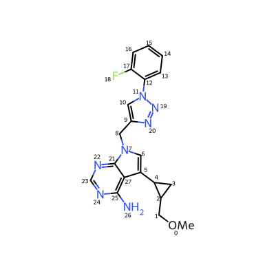 COCC1CC1c1cn(Cc2cn(-c3ccccc3F)nn2)c2ncnc(N)c12